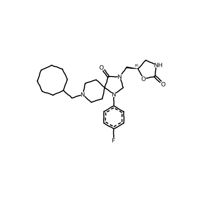 O=C1NC[C@H](CN2CN(c3ccc(F)cc3)C3(CCN(CC4CCCCCCC4)CC3)C2=O)O1